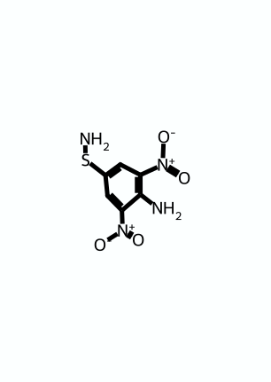 NSc1cc([N+](=O)[O-])c(N)c([N+](=O)[O-])c1